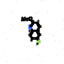 COc1c[c]c2cc(F)ccc2n1